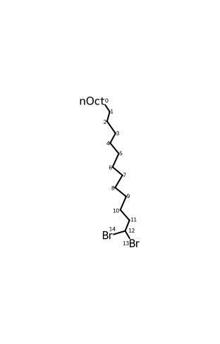 CCCCCCCCCCCCCCCCCCCC(Br)Br